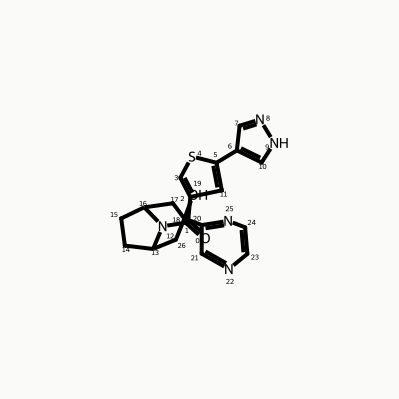 O=C(c1csc(-c2cn[nH]c2)c1)N1C2CCC1CC(O)(c1cnccn1)C2